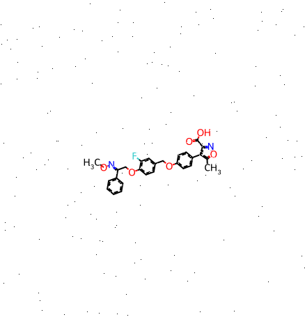 CO/N=C(/COc1ccc(COc2ccc(-c3c(C(=O)O)noc3C)cc2)cc1F)c1ccccc1